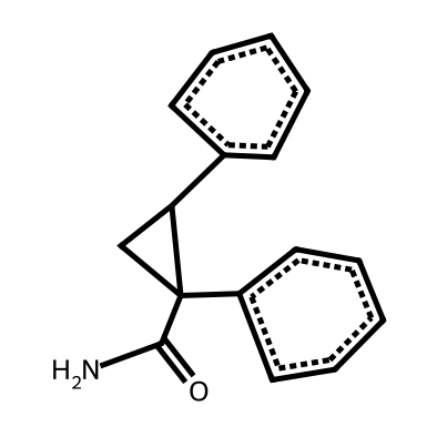 NC(=O)C1(c2ccccc2)CC1c1ccccc1